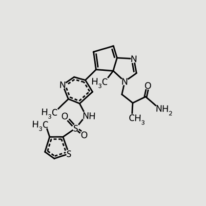 Cc1ccsc1S(=O)(=O)Nc1cc(C2=CC=C3N=CN(CC(C)C(N)=O)C32C)cnc1C